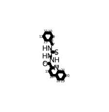 O=C(NNC(=S)NCc1ccccc1)c1ccc2ccccc2n1